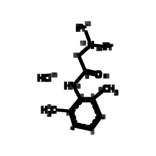 Cc1cccc(C)c1NC(=O)CN(C(C)C)C(C)C.Cl